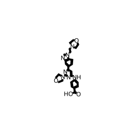 O=C(O)c1ccc(Nc2cc(-c3ccc4c(c3)ncn4CCN3CCOCC3)nc(N3CCOCC3)n2)cc1